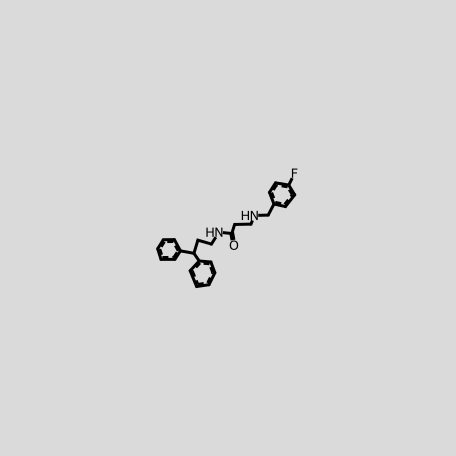 O=C(CCNCc1ccc(F)cc1)NCCC(c1ccccc1)c1ccccc1